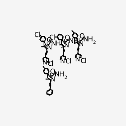 Cc1c(C#Cc2ccnc(Cl)c2)nc(C(N)=O)n1-c1ccc(Cl)cc1.Cc1c(C#Cc2ccnc(Cl)c2)nc(C(N)=O)n1-c1cccc(Cl)c1.Cc1ccc(-n2c(C(N)=O)nc(C#Cc3ccccc3)c2C)cc1.Cc1ccc(-n2c(C(N)=O)nc(C#Cc3ccnc(Cl)c3)c2C)cc1